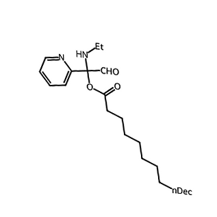 CCCCCCCCCCCCCCCCCC(=O)OC(C=O)(NCC)c1ccccn1